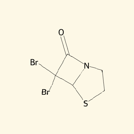 O=C1N2CCSC2C1(Br)Br